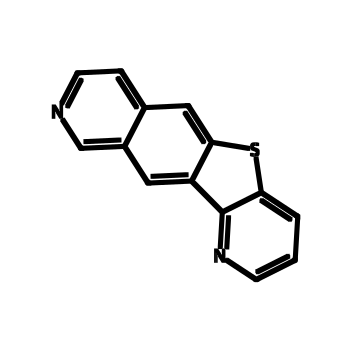 c1cnc2c(c1)sc1cc3ccncc3cc12